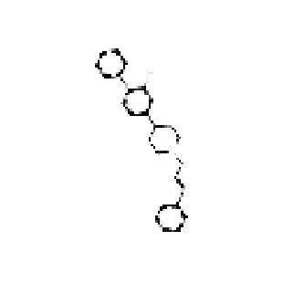 Fc1cc(C2CCN(C/C=C/c3ccccc3)CC2)ccc1-c1ccccc1